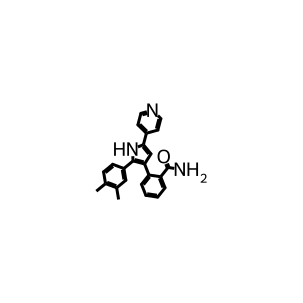 Cc1ccc(-c2[nH]c(-c3ccncc3)cc2-c2ccccc2C(N)=O)cc1C